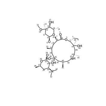 CC[C@H]1OC(=O)[C@H](C)[C@@H](O[C@H]2C[C@@](C)(OC)[C@@H](O)[C@H](C)O2)[C@H](C)[C@@H](O[C@@H]2O[C@H](C)C[C@H](N(C)C)[C@H]2O)[C@@](C)(O)C[C@H](C)CN[C@@H](C)C[C@]1(C)O